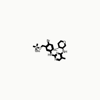 Cc1cnc(Nc2ccc(Br)c(CO[Si](C)(C)C(C)(C)C)c2)nc1N[C@@H]1COCC[C@H]1C#N